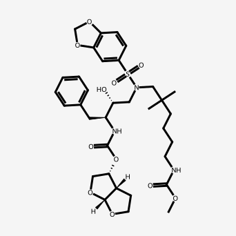 COC(=O)NCCCCC(C)(C)CN(C[C@@H](O)[C@H](Cc1ccccc1)NC(=O)O[C@H]1CO[C@H]2OCC[C@H]21)S(=O)(=O)c1ccc2c(c1)OCO2